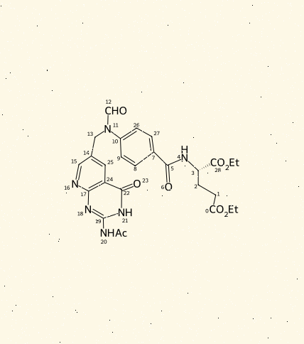 CCOC(=O)CC[C@H](NC(=O)c1ccc(N(C=O)Cc2cnc3nc(NC(C)=O)[nH]c(=O)c3c2)cc1)C(=O)OCC